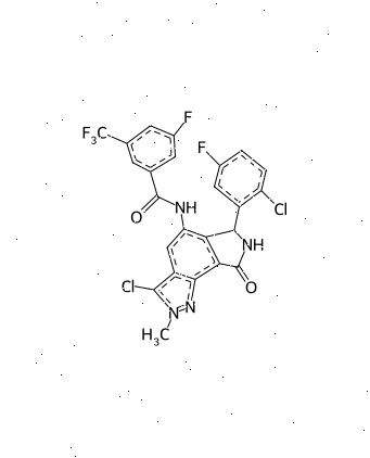 Cn1nc2c3c(c(NC(=O)c4cc(F)cc(C(F)(F)F)c4)cc2c1Cl)C(c1cc(F)ccc1Cl)NC3=O